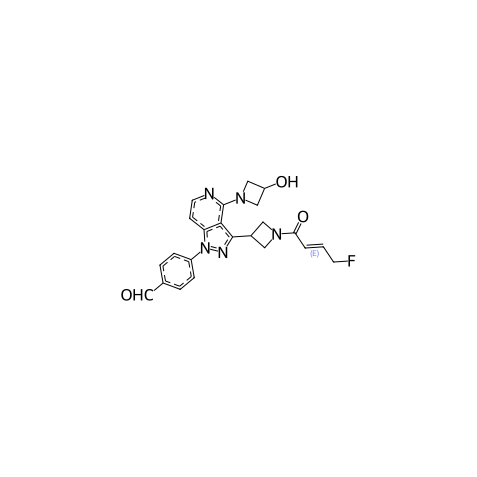 O=Cc1ccc(-n2nc(C3CN(C(=O)/C=C/CF)C3)c3c(N4CC(O)C4)nccc32)cc1